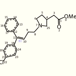 COC(=O)CC1CCN(CC/C=C(\c2ccccc2)c2ccc(Cl)cc2)C1